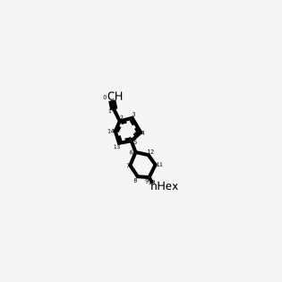 C#Cc1ccc(C2CCC(CCCCCC)CC2)cc1